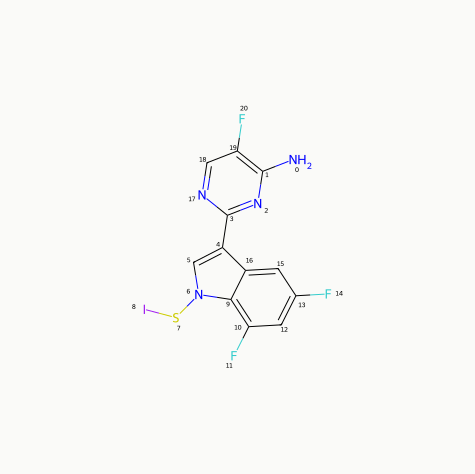 Nc1nc(-c2cn(SI)c3c(F)cc(F)cc23)ncc1F